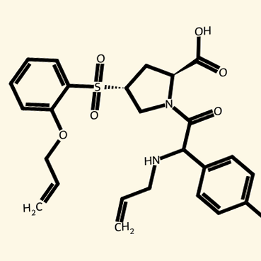 C=CCNC(C(=O)N1C[C@H](S(=O)(=O)c2ccccc2OCC=C)C[C@H]1C(=O)O)c1ccc(Cl)cc1